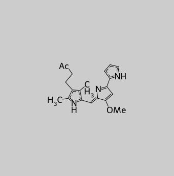 COC1=CC(c2ccc[nH]2)=N/C1=C\c1[nH]c(C)c(CCC(C)=O)c1C